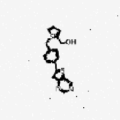 OCC1=CC=C[SH]1Cc1ccc(-c2cc3ncn[c]c3s2)cc1